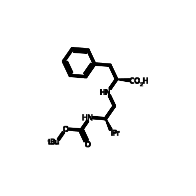 CC(C)[C@H](CN[C@@H](Cc1ccccc1)C(=O)O)NC(=O)OC(C)(C)C